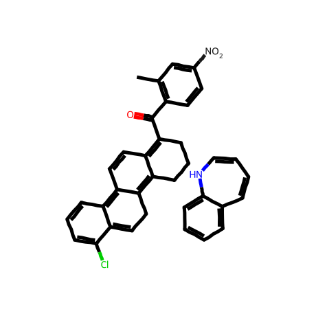 C1=CNc2ccccc2C=C1.Cc1cc([N+](=O)[O-])ccc1C(=O)C1=c2ccc3c(c2CCC1)CC=c1c(Cl)cccc1=3